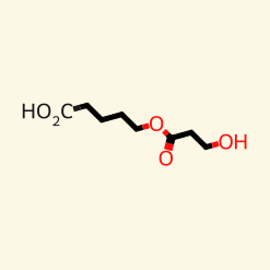 O=C(O)CCCCOC(=O)CCO